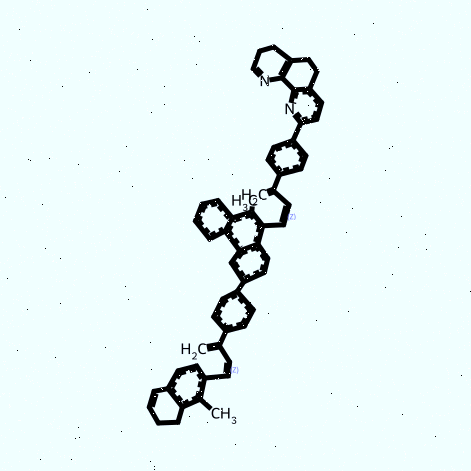 C=C(/C=C\c1ccc2c(c1C)CCC=C2)c1ccc(-c2ccc3c(/C=C\C(=C)c4ccc(-c5ccc6c(n5)C5=C(CCC=N5)CC6)cc4)c(C)c4ccccc4c3c2)cc1